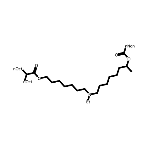 CCCCCCCCCC(=O)OC(C)CCCCCCN(CC)CCCCCCCOC(=O)C(CCCCCCCC)CCCCCCCC